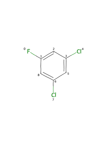 Fc1[c]c(Cl)cc(Cl)c1